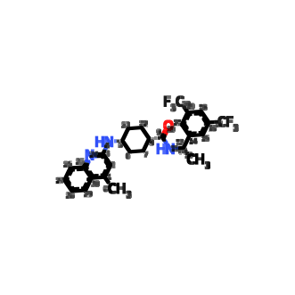 Cc1cc(N[C@H]2CC[C@@H](C(=O)N[C@@H](C)c3cc(C(F)(F)F)cc(C(F)(F)F)c3)CC2)nc2ccccc12